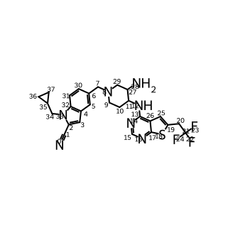 N#Cc1cc2cc(CN3CCC(Nc4ncnc5sc(CC(F)(F)F)cc45)C(N)C3)ccc2n1CC1CC1